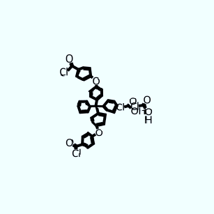 O=C(Cl)c1ccc(Oc2ccc(C(c3ccccc3)(c3ccccc3)c3ccc(Oc4ccc(C(=O)Cl)cc4)cc3)cc2)cc1.O=C(O)Cl.O=C(O)Cl